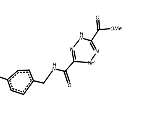 COC(=O)C1=NNC(C(=O)NCc2ccc(C)cc2)=NN1